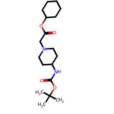 CC(C)(C)OC(=O)NC1CCN(CC(=O)OC2CCCCC2)CC1